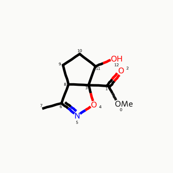 COC(=O)C12ON=C(C)C1CCC2O